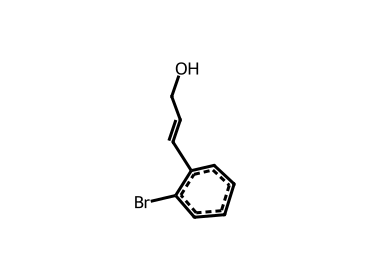 OC/C=C/c1ccccc1Br